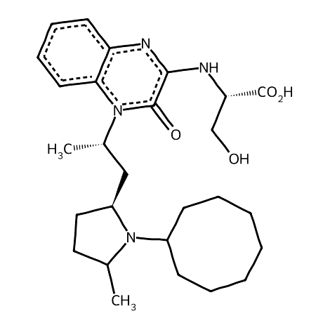 CC1CC[C@@H](C[C@H](C)n2c(=O)c(N[C@@H](CO)C(=O)O)nc3ccccc32)N1C1CCCCCCC1